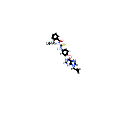 COc1ccccc1C(=O)NC(=S)Nc1ccc(Oc2ncnc3c2ncn3CC2CC2)cc1